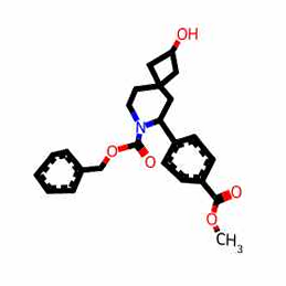 COC(=O)c1ccc(C2CC3(CCN2C(=O)OCc2ccccc2)CC(O)C3)cc1